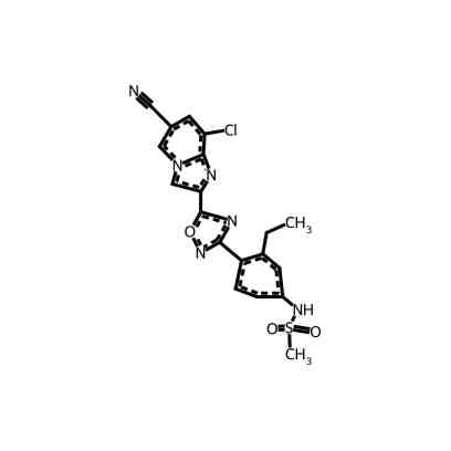 CCc1cc(NS(C)(=O)=O)ccc1-c1noc(-c2cn3cc(C#N)cc(Cl)c3n2)n1